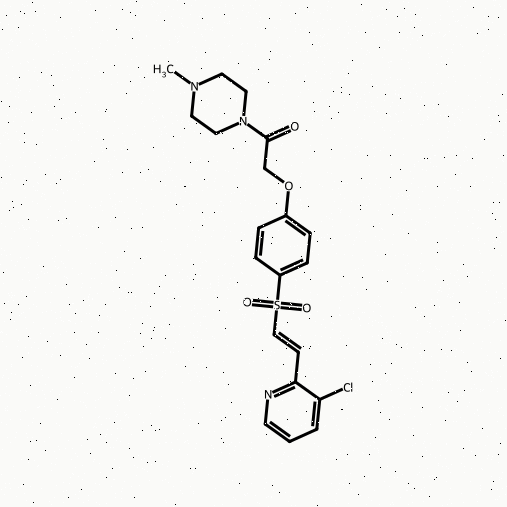 CN1CCN(C(=O)COc2ccc(S(=O)(=O)/C=C/c3ncccc3Cl)cc2)CC1